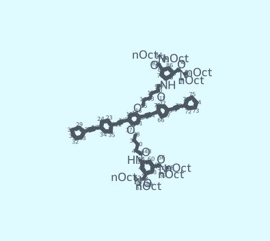 CCCCCCCCN(CCCCCCCC)C(=O)c1cc(NCC(=O)CCCCOc2cc(C#Cc3ccc(C#Cc4ccccc4)cc3)c(OCCCCC(=O)Nc3cc(C(=O)N(CCCCCCCC)CCCCCCCC)cc(C(=O)N(CCCCCCCC)CCCCCCCC)c3)cc2C#Cc2ccc(C#Cc3ccccc3)cc2)cc(C(=O)N(CCCCCCCC)CCCCCCCC)c1